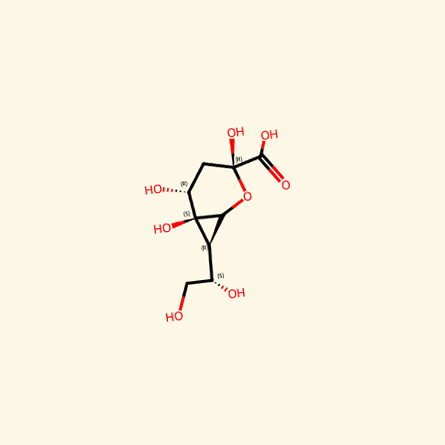 O=C(O)[C@@]1(O)C[C@@H](O)[C@]2(O)C(O1)[C@H]2[C@H](O)CO